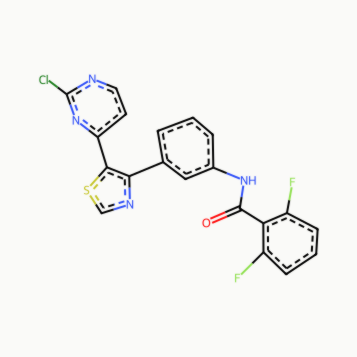 O=C(Nc1cccc(-c2ncsc2-c2ccnc(Cl)n2)c1)c1c(F)cccc1F